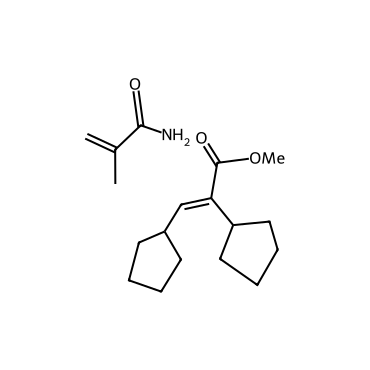 C=C(C)C(N)=O.COC(=O)C(=CC1CCCC1)C1CCCC1